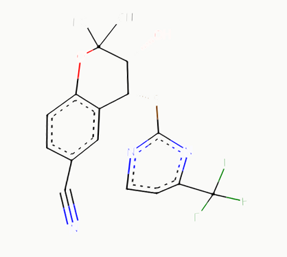 CC1(C)Oc2ccc(C#N)cc2[C@@H](Sc2nccc(C(F)(F)F)n2)[C@H]1O